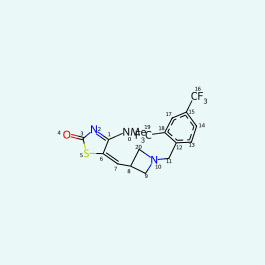 CNC1=NC(=O)SC1=CC1CN(Cc2ccc(C(F)(F)F)cc2C(F)(F)F)C1